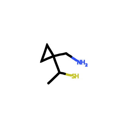 CC(S)C1(CN)CC1